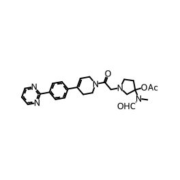 CC(=O)OC1(N(C)C=O)CCN(CC(=O)N2CC=C(c3ccc(-c4ncccn4)cc3)CC2)C1